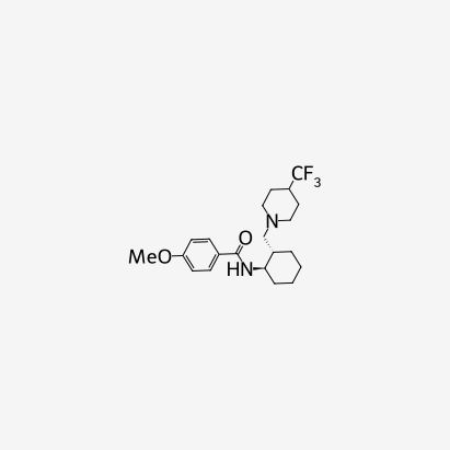 COc1ccc(C(=O)N[C@@H]2CCCC[C@H]2CN2CCC(C(F)(F)F)CC2)cc1